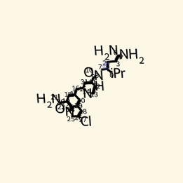 CC(C)/C(=C\C=C(N)N)CNC(=O)c1ccnc(Cc2cc(C(N)=O)c3ncc(Cl)cc3c2)c1